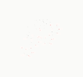 C[C@H](CC[C@@H](O[C@@H]1O[C@H](CO[C@@H]2OC(CO)[C@@H](O)[C@H](O)[C@H]2O)[C@@H](O)[C@H](O)[C@H]1O)C(C)(C)O)C1CC[C@@]2(C)C3CC=C4C(CC[C@H](O[C@@H]5O[C@H](CO[C@@H]6O[C@H](CO)[C@@H](O)[C@H](O)[C@H]6O)[C@@H](O)[C@H](O)[C@H]5O)C4(C)C)[C@]3(C)C(=O)C[C@]12C